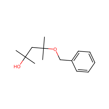 CC(C)(O)CC(C)(C)OCc1ccccc1